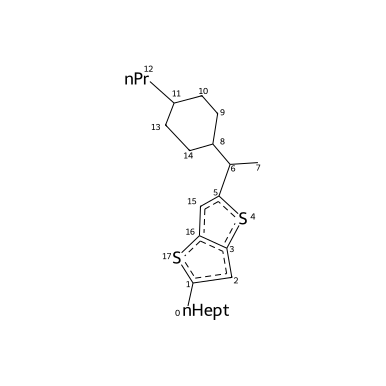 CCCCCCCc1cc2sc(C(C)C3CCC(CCC)CC3)cc2s1